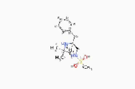 CC(C)(C)N[C@H](CNS(C)(=O)=O)Cc1ccccc1